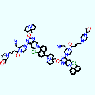 CN(C/C=C/C(=O)N1CCN(c2nc(OCC34CCCN3CCC4)nc3c2CCN(c2cccc4c(C5CCC6(COc7nc8c(c(N9CCN(C(=O)/C=C/CN%10CCN(C%11COC%11)CC%10)[C@@H](CC#N)C9)n7)CCN(c7cccc9cccc(Cl)c79)C8)CCCN56)ccc(Cl)c24)C3)C[C@@H]1CC#N)CC1COC1